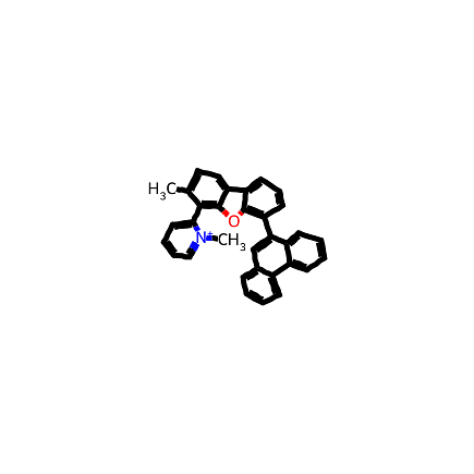 Cc1ccc2c(oc3c(-c4cc5ccccc5c5ccccc45)cccc32)c1-c1cccc[n+]1C